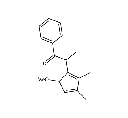 COC1C=C(C)C(C)=C1C(C)C(=O)c1ccccc1